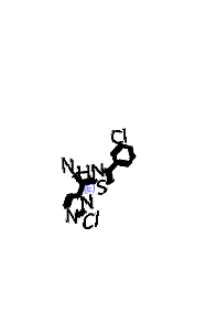 N#C/C(=C1\NC(c2cccc(Cl)c2)=CS1)c1ccnc(Cl)n1